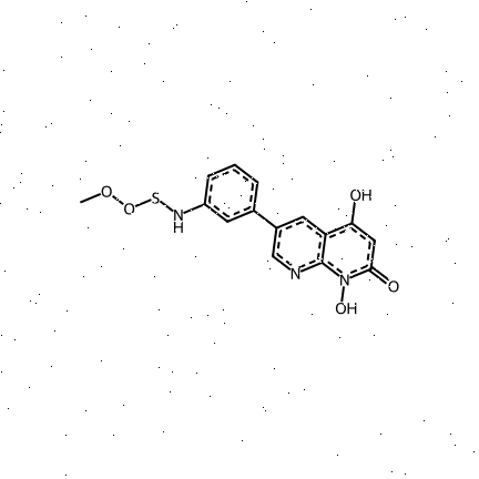 COOSNc1cccc(-c2cnc3c(c2)c(O)cc(=O)n3O)c1